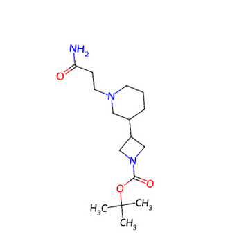 CC(C)(C)OC(=O)N1CC(C2CCCN(CCC(N)=O)C2)C1